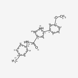 COc1cccc(-c2cc(C(=O)Nc3ccc(C)cc3)n[nH]2)c1